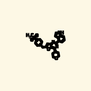 CS(=O)(=O)N1CCN(Cc2cc3nc(-c4cccc5[nH]ccc45)nc(N4CCOCC4)c3o2)CC1